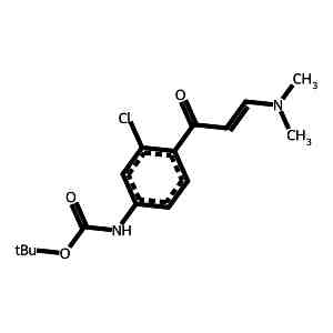 CN(C)/C=C/C(=O)c1ccc(NC(=O)OC(C)(C)C)cc1Cl